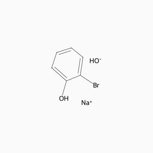 Oc1ccccc1Br.[Na+].[OH-]